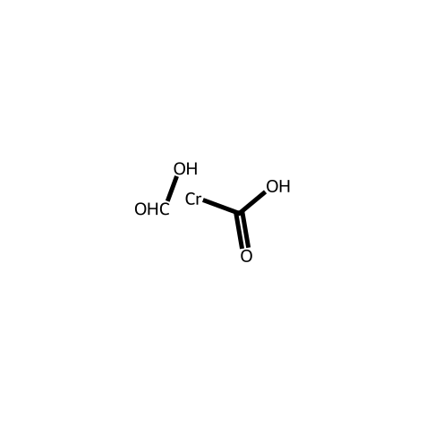 O=CO.O=[C](O)[Cr]